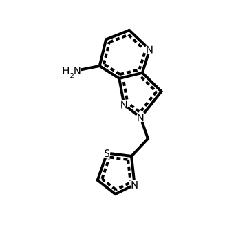 Nc1ccnc2cn(Cc3nccs3)nc12